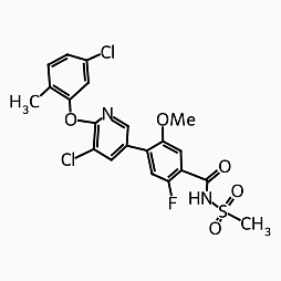 COc1cc(C(=O)NS(C)(=O)=O)c(F)cc1-c1cnc(Oc2cc(Cl)ccc2C)c(Cl)c1